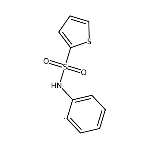 O=S(=O)(Nc1[c]cccc1)c1cccs1